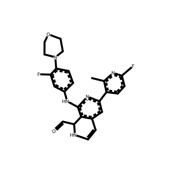 Cc1nc(F)ccc1-c1cc2c(c(Nc3ccc(N4CCOCC4)c(F)c3)n1)C(C=O)NC=C2